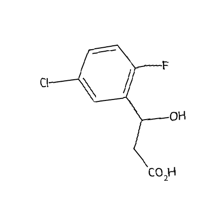 O=C(O)CC(O)c1cc(Cl)ccc1F